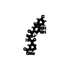 COC(=O)c1cccc(C(=O)NC(C)[C@@H](C)C(=O)N2C[C@@H](O)[C@](O)(c3ccc(Cl)cc3)C(C)(C)C2)c1